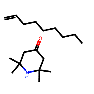 C=CCCCCCCC.CC1(C)CC(=O)CC(C)(C)N1